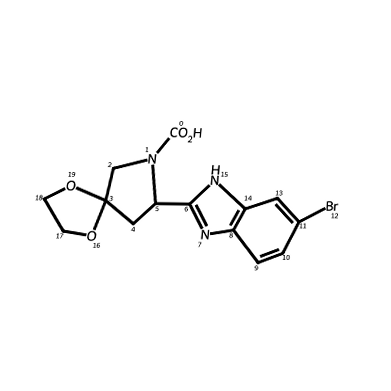 O=C(O)N1CC2(CC1c1nc3ccc(Br)cc3[nH]1)OCCO2